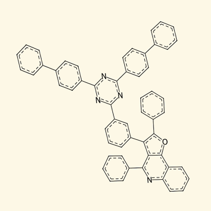 c1ccc(-c2ccc(-c3nc(-c4ccc(-c5ccccc5)cc4)nc(-c4cccc(-c5c(-c6ccccc6)oc6c5c(-c5ccccc5)nc5ccccc56)c4)n3)cc2)cc1